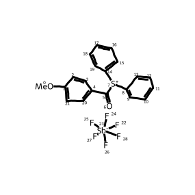 COc1ccc(C(=O)[S+](c2ccccc2)c2ccccc2)cc1.[F][Sb-]([F])([F])([F])([F])[F]